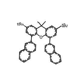 CC(C)(C)c1cc(-c2ccc3ccccc3c2)c2c(c1)C(C)(C)c1cc(C(C)(C)C)cc(-c3ccc4ccccc4c3)c1O2